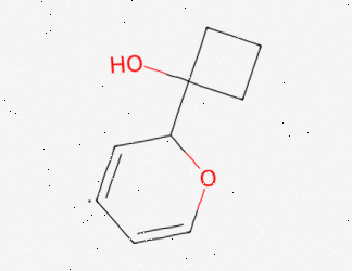 OC1(C2C=[C]C=CO2)CCC1